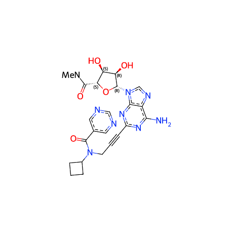 CNC(=O)[C@H]1O[C@@H](n2cnc3c(N)nc(C#CCN(C(=O)c4cncnc4)C4CCC4)nc32)[C@H](O)[C@@H]1O